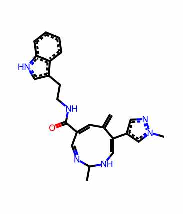 C=C1/C=C(C(=O)NCCc2c[nH]c3ccccc23)\C=N/C(C)N/C=C\1c1cnn(C)c1